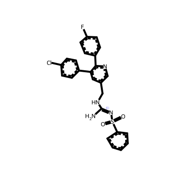 N/C(=N\S(=O)(=O)c1ccccc1)NCc1cnc(-c2ccc(F)cc2)c(-c2ccc(Cl)cc2)c1